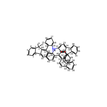 CC1(C)c2ccccc2-c2cccc(-c3ccccc3N(c3ccc4c(c3)C3(CC5CCC3C5)c3ccccc3-4)c3ccccc3-c3cccc4c3ccc3ccccc34)c21